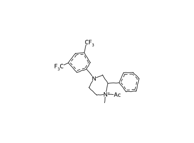 CC(=O)[N+]1(C)CCN(c2cc(C(F)(F)F)cc(C(F)(F)F)c2)CC1c1ccccc1